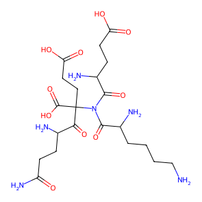 NCCCCC(N)C(=O)N(C(=O)C(N)CCC(=O)O)C(CCC(=O)O)(C(=O)O)C(=O)C(N)CCC(N)=O